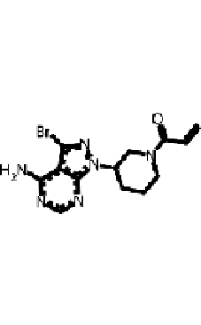 C=CC(=O)N1CCC[C@@H](n2nc(Br)c3c(N)ncnc32)C1